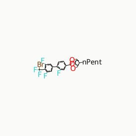 CCCCCC12COC(c3ccc(-c4cc(F)c(C(F)(F)Br)c(F)c4)c(F)c3)(OC1)OC2